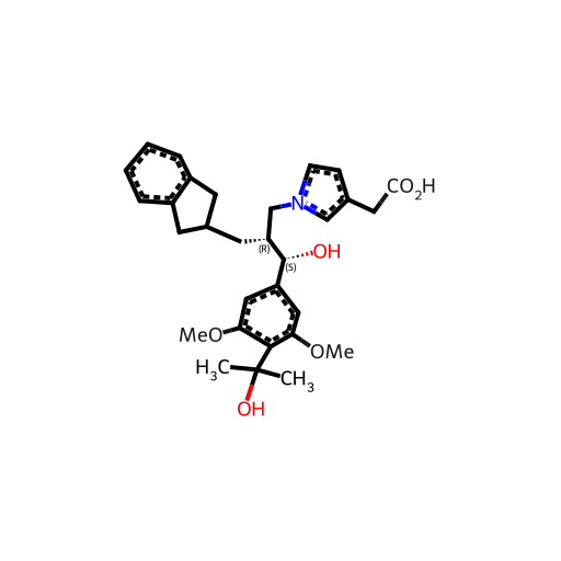 COc1cc([C@@H](O)[C@H](CC2Cc3ccccc3C2)Cn2ccc(CC(=O)O)c2)cc(OC)c1C(C)(C)O